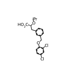 CC(C)O[C@@H](Cc1cccc(COc2ccc(Cl)cc2Cl)c1)C(=O)O